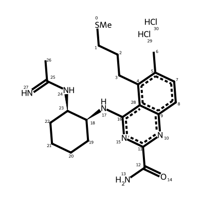 CSCCCc1c(C)ccc2nc(C(N)=O)nc(N[C@H]3CCCC[C@H]3NC(C)=N)c12.Cl.Cl